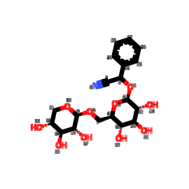 N#CC(O[C@@H]1O[C@H](CO[C@@H]2OC[C@@H](O)[C@H](O)[C@H]2O)[C@@H](O)[C@H](O)[C@H]1O)c1ccccc1